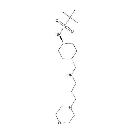 CC(C)(C)S(=O)(=O)N[C@H]1CC[C@H](CNCCCN2CCOCC2)CC1